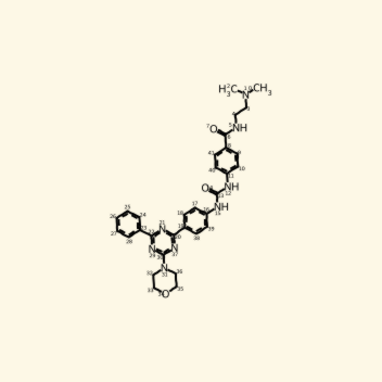 CN(C)CCNC(=O)c1ccc(NC(=O)Nc2ccc(-c3nc(-c4ccccc4)nc(N4CCOCC4)n3)cc2)cc1